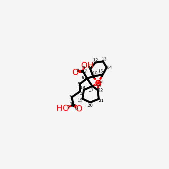 O=C(O)CCCC(C(=O)O)(C12CCCCC1O2)C12CCCCC1O2